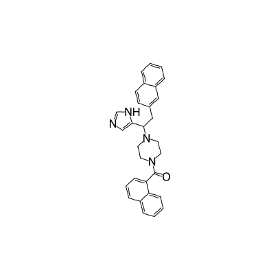 O=C(c1cccc2ccccc12)N1CCN(C(Cc2ccc3ccccc3c2)c2cnc[nH]2)CC1